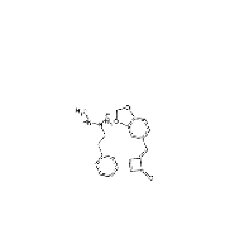 CNN(C)CCc1ccccc1.O=C1C=CC1=Cc1ccc2c(c1)OCO2